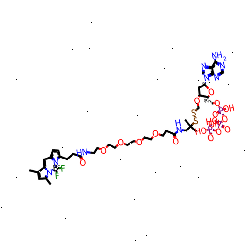 CC1=CC(C)=[N+]2C1=Cc1ccc(CCC(=O)NCCOCCOCCOCCOCCC(=O)NCC(C)(C)SSCOC3C[C@H](n4cnc5c(N)ncnc54)O[C@@H]3COP(=O)(O)OP(=O)(O)OP(=O)(O)O)n1[B-]2(F)F